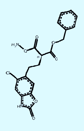 NOC(=O)[C@H](CCc1cc2oc(=O)[nH]c2cc1Cl)C(=O)OCc1ccccc1